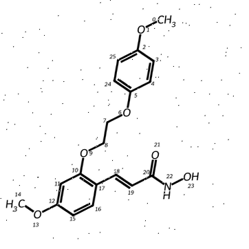 COc1ccc(OCCOc2cc(OC)ccc2/C=C/C(=O)NO)cc1